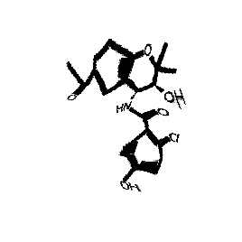 CC(=O)c1ccc2c(c1)[C@@H](NC(=O)c1ccc(O)cc1Cl)[C@H](O)C(C)(C)O2